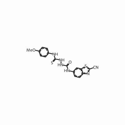 COc1ccc(NC(=S)NNC(=O)Nc2ccc3nc(C#N)sc3c2)cc1